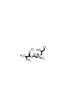 C=C(C)C(=O)OCC[N+](C)(C)CC(O)CCl.[Cl-]